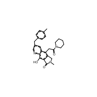 Cc1ccc(Cc2cnc3c(O)c4c(c(CC(=O)N5CCCCC5)c3c2)CN(C)C4=O)cc1